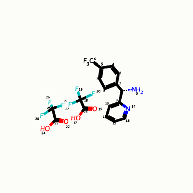 N[C@@H](c1ccc(C(F)(F)F)cc1)c1ccccn1.O=C(O)C(F)(F)F.O=C(O)C(F)(F)F